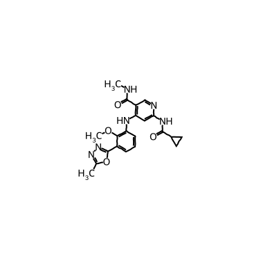 CNC(=O)c1cnc(NC(=O)C2CC2)cc1Nc1cccc(-c2nnc(C)o2)c1OC